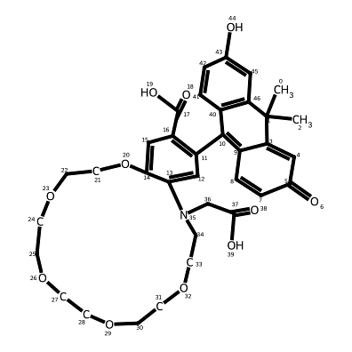 CC1(C)C2=CC(=O)C=CC2=C(c2cc3c(cc2C(=O)O)OCCOCCOCCOCCOCCN3CC(=O)O)c2ccc(O)cc21